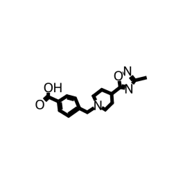 Cc1noc(C2CCN(Cc3ccc(C(=O)O)cc3)CC2)n1